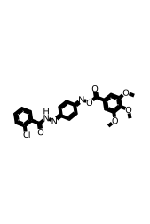 COc1cc(C(=O)ON=C2C=CC(=NNC(=O)c3ccccc3Cl)C=C2)cc(OC)c1OC